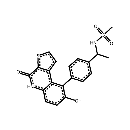 CC(NS(C)(=O)=O)c1ccc(-c2c(O)ccc3[nH]c(=O)c4sccc4c23)cc1